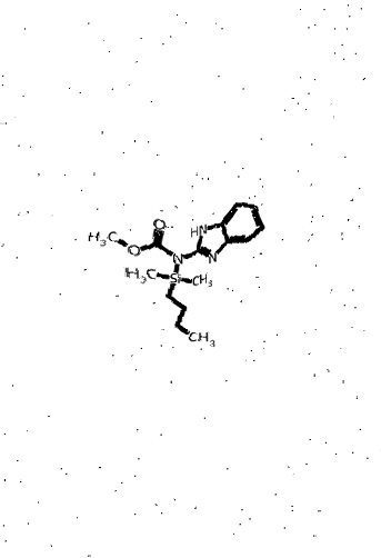 CCCC[Si](C)(C)N(C(=O)OC)c1nc2ccccc2[nH]1